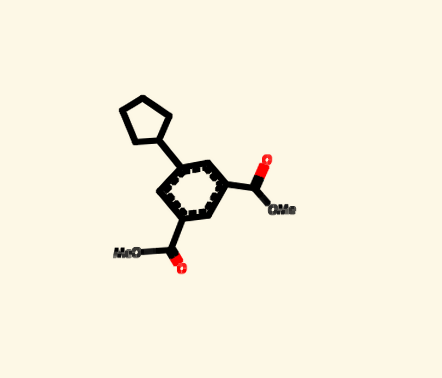 COC(=O)c1cc(C(=O)OC)cc(C2CCCC2)c1